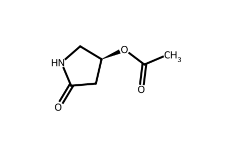 CC(=O)O[C@@H]1CNC(=O)C1